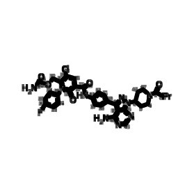 CC(C)C(=O)N1CCC(n2nc(-c3ccc(NC(=O)c4cc(Cl)c(COC(N)=O)n(-c5ccc(F)cc5)c4=O)cc3)c3c(N)ncnc32)CC1